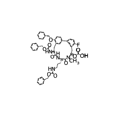 CN1C(=O)[C@H](CCCNC(=O)OCc2ccccc2)NC(=O)[C@@H](NC(=O)OCc2ccccc2)Cc2cc(ccc2OCc2ccccc2)-c2ccc(F)c(c2)C[C@@H]1OC(=O)O